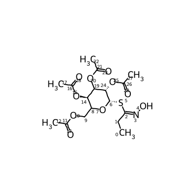 CC/C(=N/O)S[C@@H]1OC(COC(C)=O)[C@@H](OC(C)=O)C(OC(C)=O)[C@@H]1OC(C)=O